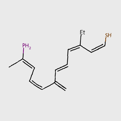 C=C(/C=C\C=C(/C)P)/C=C/C=C(\C=C/S)CC